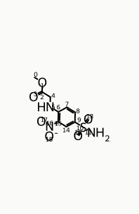 COC(=O)CNc1ccc(S(N)(=O)=O)cc1[N+](=O)[O-]